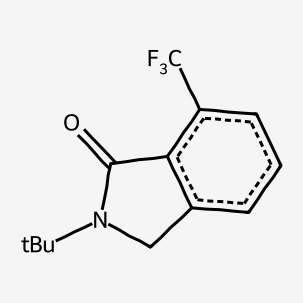 CC(C)(C)N1Cc2cccc(C(F)(F)F)c2C1=O